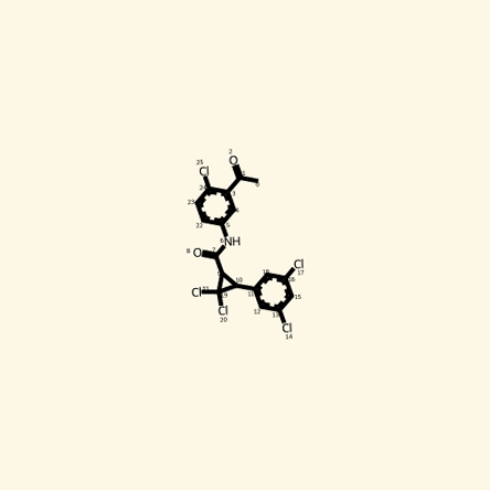 CC(=O)c1cc(NC(=O)C2C(c3cc(Cl)cc(Cl)c3)C2(Cl)Cl)ccc1Cl